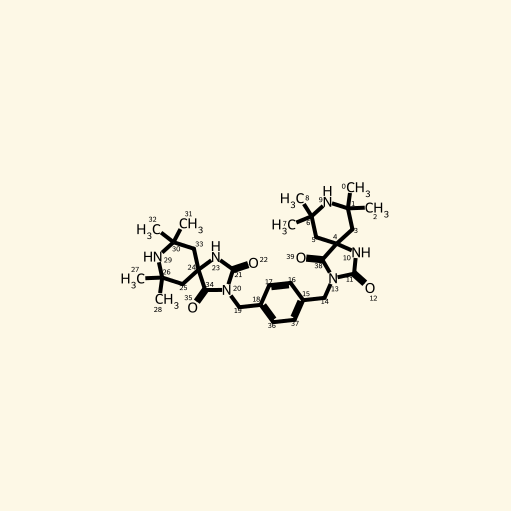 CC1(C)CC2(CC(C)(C)N1)NC(=O)N(Cc1ccc(CN3C(=O)NC4(CC(C)(C)NC(C)(C)C4)C3=O)cc1)C2=O